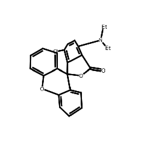 CCN(CC)c1ccc(Cl)c2c1C(=O)OC21c2ccccc2Oc2ccccc21